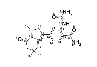 CC1=C2C(=O)CC(C)(C)C=C2N(c2ccc(C(N)=O)c(NC(N)=O)c2)C1